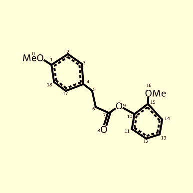 COc1ccc(CCC(=O)Oc2ccccc2OC)cc1